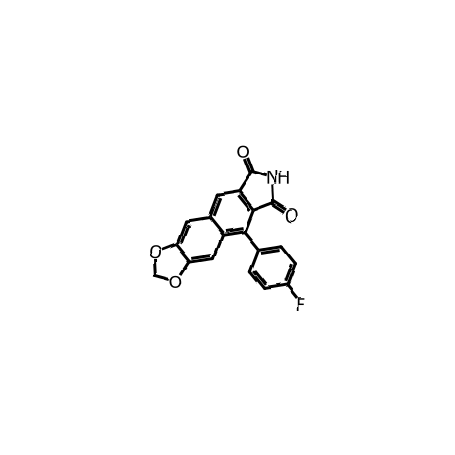 O=C1NC(=O)c2c1cc1cc3c(cc1c2-c1ccc(F)cc1)OCO3